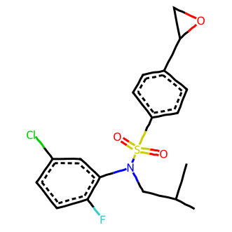 CC(C)CN(c1cc(Cl)ccc1F)S(=O)(=O)c1ccc(C2CO2)cc1